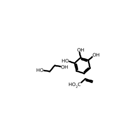 C=CC(=O)O.OCCO.Oc1cccc(O)c1O